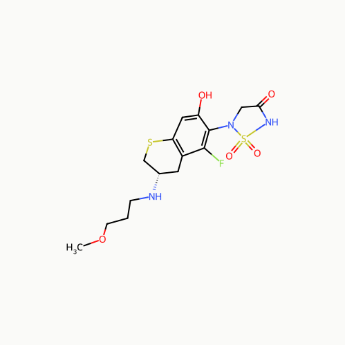 COCCCN[C@@H]1CSc2cc(O)c(N3CC(=O)NS3(=O)=O)c(F)c2C1